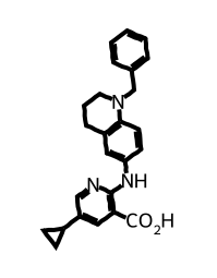 O=C(O)c1cc(C2CC2)cnc1Nc1ccc2c(c1)CCCN2Cc1ccccc1